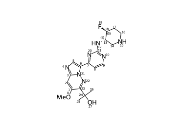 COc1cc2ncc(-c3ccnc(N[C@H]4CNCC[C@@H]4F)n3)n2nc1C(C)(C)O